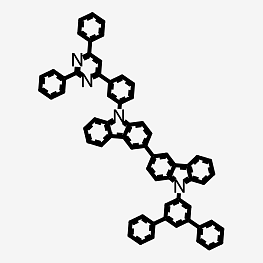 c1ccc(-c2cc(-c3ccccc3)cc(-n3c4ccccc4c4cc(-c5ccc6c(c5)c5ccccc5n6-c5cccc(-c6cc(-c7ccccc7)nc(-c7ccccc7)n6)c5)ccc43)c2)cc1